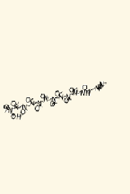 CC(=O)N(CCO)CCN(CCN(CCN(CCN(CCN(CCN(CCN(CCN(CCN(CCNC(=O)CCCCN=[N+]=[N-])C(C)=O)C(C)=O)C(C)=O)C(C)=O)C(C)=O)C(C)=O)C(C)=O)C(C)=O)C(C)=O